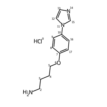 Cl.NCCCCOc1ccc(-n2ccnc2)cc1